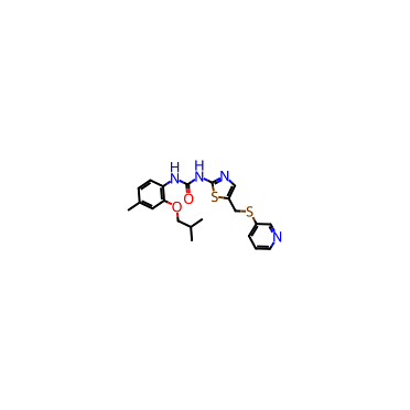 Cc1ccc(NC(=O)Nc2ncc(CSc3cccnc3)s2)c(OCC(C)C)c1